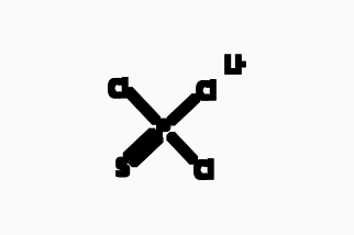 S=P(Cl)(Cl)Cl.[Li]